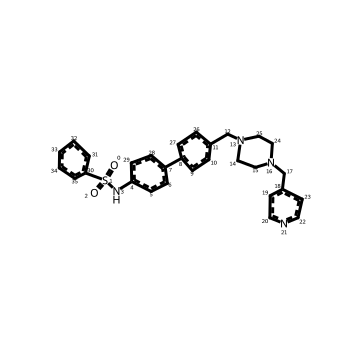 O=S(=O)(Nc1ccc(-c2ccc(CN3CCN(Cc4ccncc4)CC3)cc2)cc1)c1ccccc1